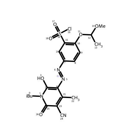 CCC(C)n1c(O)c(/N=N/c2ccc(OC(C)OC)c(S(=O)(=O)Cl)c2)c(C)c(C#N)c1=O